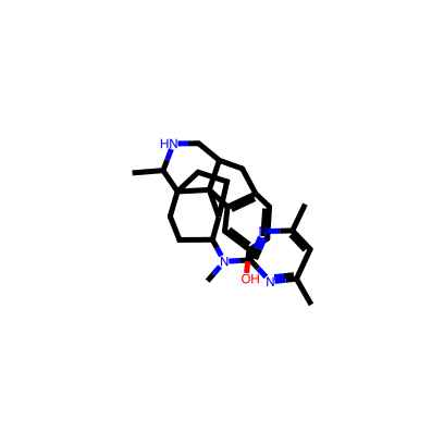 Cc1cc(C)nc(N(C)C2CCC34CCC2C32c3cc(O)ccc3CC2CNC4C)n1